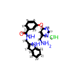 Cl.NCc1cc(Oc2cccc(C(=O)NCc3cc4ccccc4[nH]3)c2)ncn1